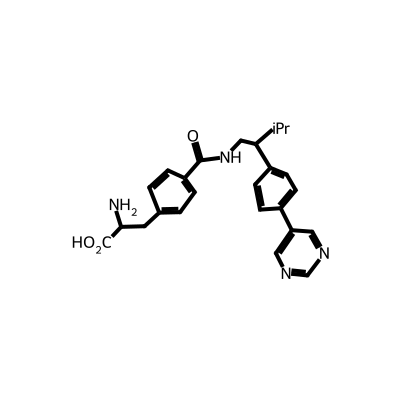 CC(C)C(CNC(=O)c1ccc(CC(N)C(=O)O)cc1)c1ccc(-c2cncnc2)cc1